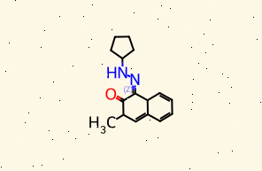 CC1C=C2C=CC=CC2/C(=N/NC2CCCC2)C1=O